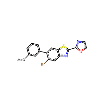 COc1cccc(-c2cc3sc(-c4ncco4)nc3cc2Br)c1